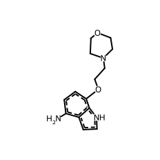 Nc1ccc(OCCN2CCOCC2)c2[nH]ccc12